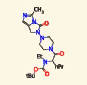 CCCC(C(=O)N1CCN(N2Cc3cnc(C)n3C2=O)CC1)N(CC)C(=O)OC(C)(C)C